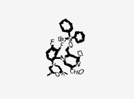 C[C@@H]1CN(c2ccc(F)c(F)c2N2C=C(C=O)N=C(Cl)C2CO[Si](c2ccccc2)(c2ccccc2)C(C)(C)C)C[C@H](C)O1